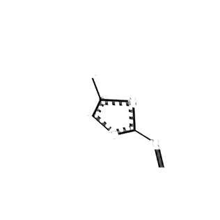 C=Nc1nc(C)cs1